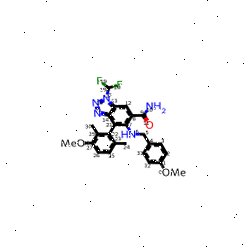 COc1ccc(CNc2c(C(N)=O)cc3c(nnn3C(F)F)c2-c2c(C)ccc(OC)c2C)cc1